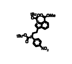 COC(=O)c1cccc2c(CCN(C(=O)OC(C)(C)C)c3ccc([N+](=O)[O-])cc3)cn(C(=O)OC(C)(C)C)c12